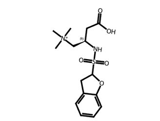 C[N+](C)(C)C[C@@H](CC(=O)O)NS(=O)(=O)C1Cc2ccccc2O1